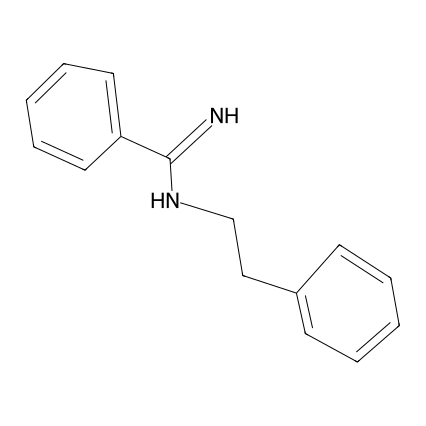 N=C(NCCc1ccccc1)c1ccccc1